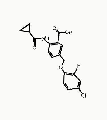 O=C(O)c1cc(COc2ccc(Cl)cc2F)ccc1NC(=O)C1CC1